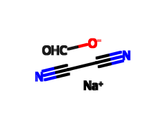 N#CC#N.O=C[O-].[Na+]